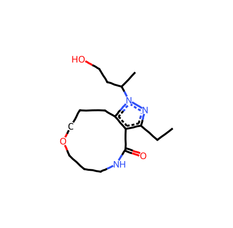 CCc1nn(C(C)CCO)c2c1C(=O)NCCCOCCC2